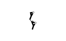 CC1O[C@H]1CC1CO1